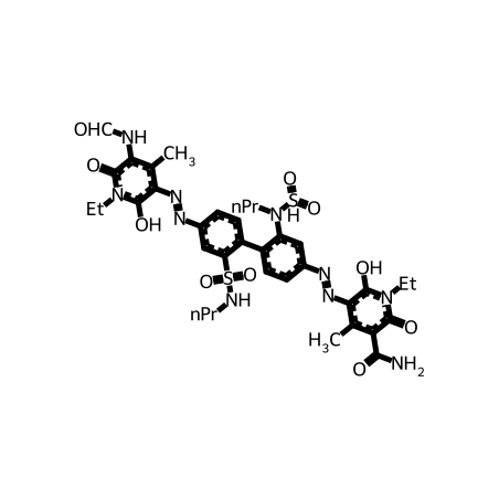 CCCNS(=O)(=O)c1cc(N=Nc2c(C)c(NC=O)c(=O)n(CC)c2O)ccc1-c1ccc(N=Nc2c(C)c(C(N)=O)c(=O)n(CC)c2O)cc1N(CCC)[SH](=O)=O